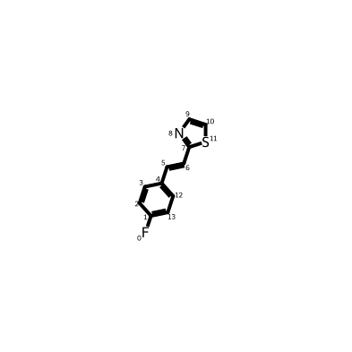 Fc1ccc(C=Cc2nccs2)cc1